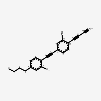 CCCCc1ccc(C#Cc2ccc(C#CC#N)c(F)c2)c(F)c1